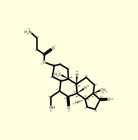 C[C@]12CCC(OC(=O)CCN)CC1C(CO)C(=O)[C@@H]1[C@H]2CC[C@]2(C)C(=O)CC[C@@H]12